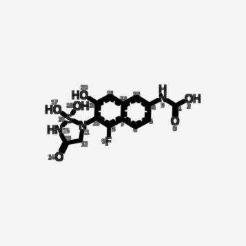 O=C(O)Nc1ccc2c(F)c(N3CC(=O)NS3(O)O)c(O)cc2c1